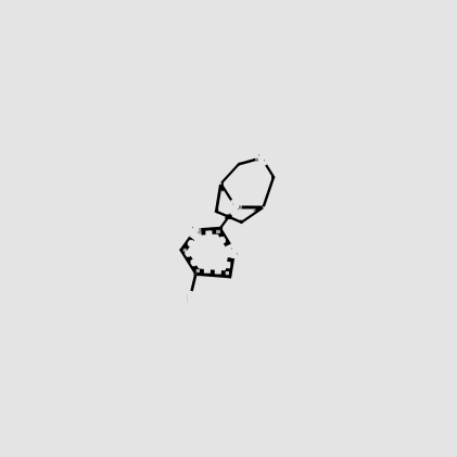 Brc1cnc(N2C3CCC2CNC3)nc1